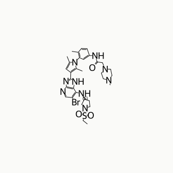 CCS(=O)(=O)N1CC[C@H](Nc2c(Br)cnc3nc(-c4cc(C)n(-c5cc(NC(=O)CN6CCN(C)CC6)ccc5C)c4C)[nH]c23)C1